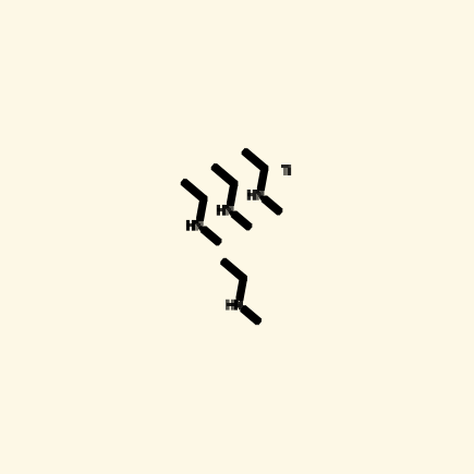 CCNC.CCNC.CCNC.CCNC.[Ti]